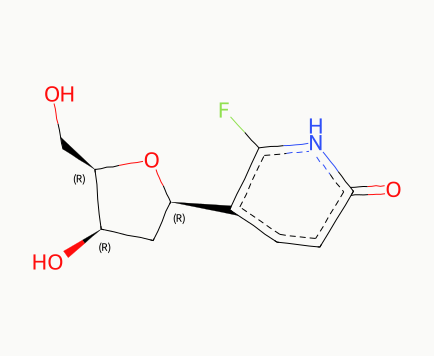 O=c1ccc([C@H]2C[C@@H](O)[C@@H](CO)O2)c(F)[nH]1